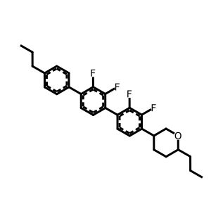 CCCc1ccc(-c2ccc(-c3ccc(C4CCC(CCC)OC4)c(F)c3F)c(F)c2F)cc1